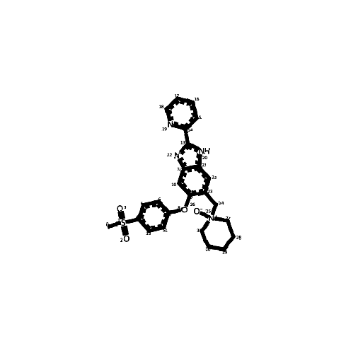 CS(=O)(=O)c1ccc(Oc2cc3nc(-c4ccccn4)[nH]c3cc2C[N+]2([O-])CCCCC2)cc1